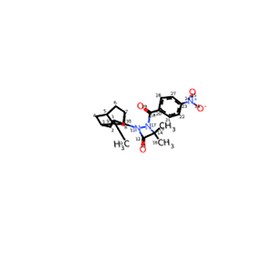 CC1CC2CC3CC(CC23)C1N1C(=O)C(C)(C)N1C(=O)c1ccc([N+](=O)[O-])cc1